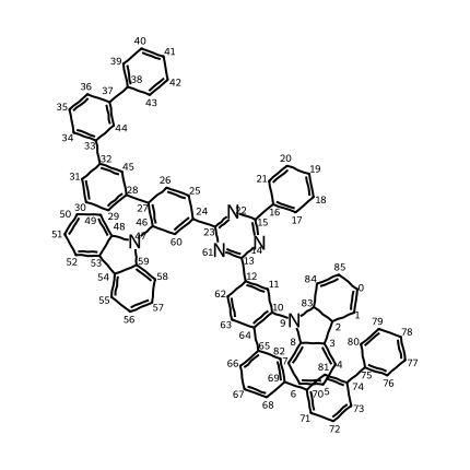 C1=CC2c3ccccc3N(c3cc(-c4nc(-c5ccccc5)nc(-c5ccc(-c6cccc(-c7cccc(-c8ccccc8)c7)c6)c(-n6c7ccccc7c7ccccc76)c5)n4)ccc3-c3cccc(-c4cccc(-c5ccccc5)c4)c3)C2C=C1